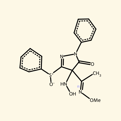 CO/N=C(\C)C1(NO)C(=O)N(c2ccccc2)N=C1[S+]([O-])c1ccccc1